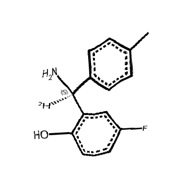 [2H][C@](N)(c1ccc(C)cc1)c1cc(F)ccc1O